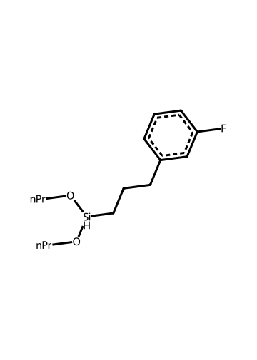 CCCO[SiH](CCCc1cccc(F)c1)OCCC